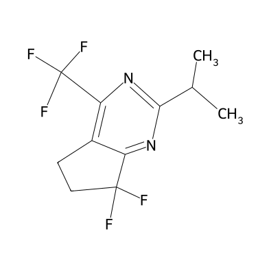 CC(C)c1nc(C(F)(F)F)c2c(n1)C(F)(F)CC2